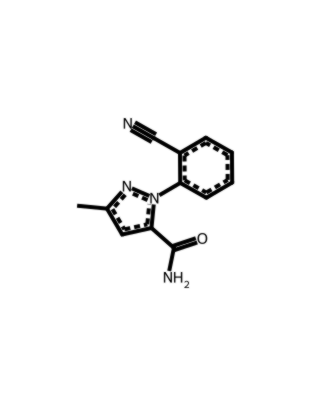 Cc1cc(C(N)=O)n(-c2ccccc2C#N)n1